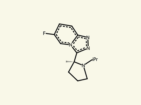 CC(C)N1CCC[C@@]1(C)c1nnc2ccc(F)cn12